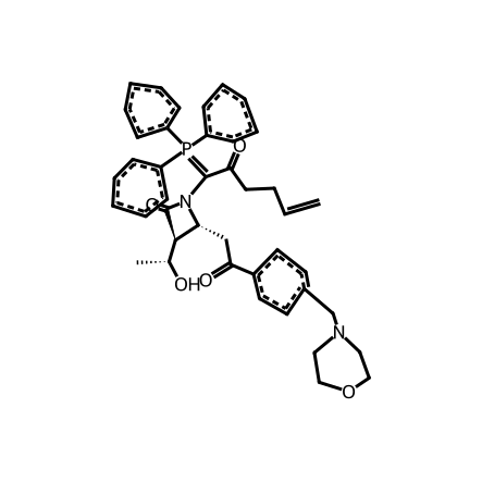 C=CCCC(=O)C(N1C(=O)[C@H]([C@@H](C)O)[C@H]1CC(=O)c1ccc(CN2CCOCC2)cc1)=P(c1ccccc1)(c1ccccc1)c1ccccc1